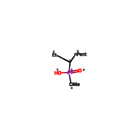 CCCCCC(CC)P(=O)(O)OC